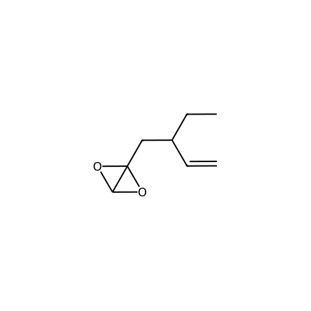 C=CC(CC)CC12OC1O2